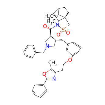 Cc1oc(-c2ccccc2)nc1CCOc1cccc(C[C@H]2CN(Cc3ccccc3)C[C@H]2C(=O)N2C3CC4CC[C@]3(CS2(=O)=O)C4(C)C)c1